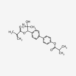 C=C(C)C(=O)OC(c1ccc(-c2ccc(OC(=O)C(C)C)cc2)cc1)C(C)(C)O